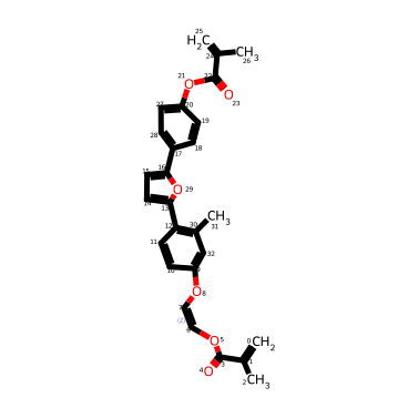 C=C(C)C(=O)O/C=C\Oc1ccc(-c2ccc(-c3ccc(OC(=O)C(=C)C)cc3)o2)c(C)c1